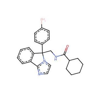 Bc1ccc(C2(CNC(=O)C3CCCCC3)c3ccccc3-c3nccn32)cc1